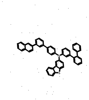 c1ccc(-c2ccccc2-c2cccc(N(c3ccc(-c4cccc(-c5ccc6ccccc6c5)c4)cc3)c3ccc4sc5ccccc5c4c3)c2)cc1